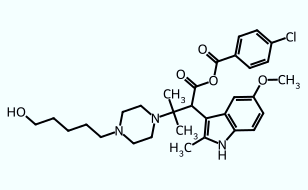 COc1ccc2[nH]c(C)c(C(C(=O)OC(=O)c3ccc(Cl)cc3)C(C)(C)N3CCN(CCCCCO)CC3)c2c1